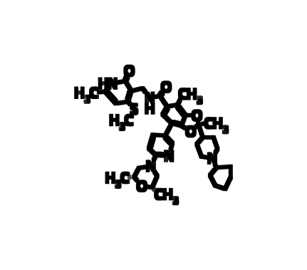 CSc1cc(C)[nH]c(=O)c1CNC(=O)c1cc(-c2ccc(N3C[C@@H](C)O[C@@H](C)C3)nc2)c2c(c1C)O[C@](C)(C1CCN(C3CCCCC3)CC1)O2